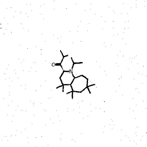 CC(C)C(=O)[C@@H]1CC(C)(C)C2C(CCC(C)(C)CC2(C)C)N1C(C)C